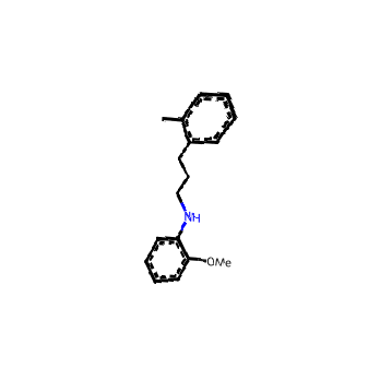 COc1ccccc1NCCCc1ccccc1C